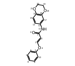 O=C(C=COc1ccccc1)Nc1ccc2c(c1)OCCO2